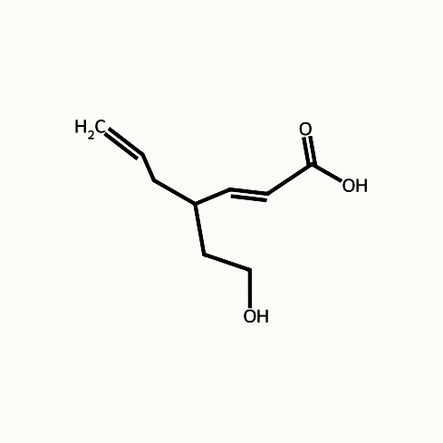 C=CCC(C=CC(=O)O)CCO